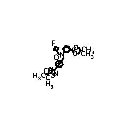 CC1(C)COB(c2cccc(N(CC34CCC(c5noc(C(C)(C)C)n5)(CC3)CC4)C(=O)C34CC(F)(C3)C4)c2)OC1